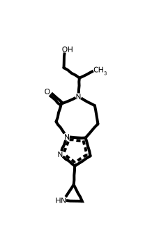 CC(CO)N1CCc2cc(C3CN3)nn2CC1=O